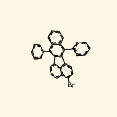 Brc1ccc2c3c(cccc13)-c1c-2c(-c2ccccc2)c2ccccc2c1-c1ccccc1